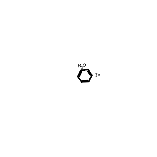 O.[Zn].c1ccccc1